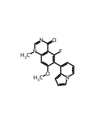 COc1cc2c(c(F)c1-c1cccn3cccc13)c(=O)ncn2C